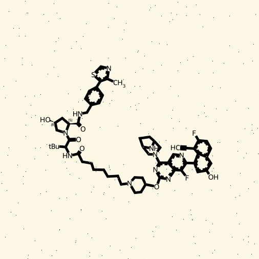 C#Cc1c(F)ccc2cc(O)cc(-c3ncc4c(N5CC6CCC(C5)N6)nc(OC5CCN(CCCCCCCC(=O)NC(C(=O)N6C[C@H](O)C[C@H]6C(=O)NCc6ccc(-c7scnc7C)cc6)C(C)(C)C)CC5)nc4c3F)c12